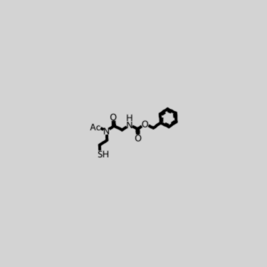 CC(=O)N(CCS)C(=O)CNC(=O)OCc1ccccc1